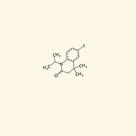 CC(C)N1C(=O)CC(C)(C)c2cc(I)ccc21